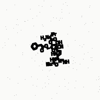 CC[C@H](C)C(=O)N/C(=N/C=N)c1ccc([C@]2(C#N)O[C@H](COC(=O)CC3CCCCC3)[C@@H](OC(=O)[C@@H](N)C(C)C)[C@H]2O)[nH]1